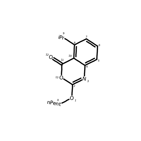 CCCCCOc1nc2cccc(C(C)C)c2c(=O)o1